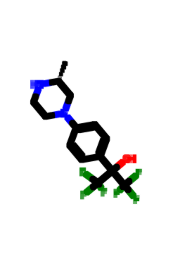 C[C@@H]1CN(c2ccc(C(O)(C(F)(F)F)C(F)(F)F)cc2)CCN1